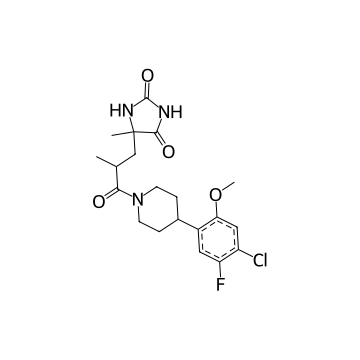 COc1cc(Cl)c(F)cc1C1CCN(C(=O)C(C)CC2(C)NC(=O)NC2=O)CC1